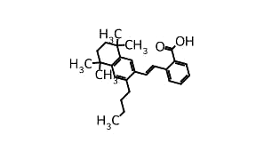 CCCCc1cc2c(cc1C=Cc1ccccc1C(=O)O)C(C)(C)CCC2(C)C